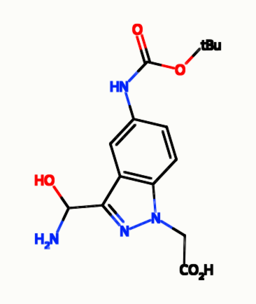 CC(C)(C)OC(=O)Nc1ccc2c(c1)c(C(N)O)nn2CC(=O)O